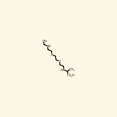 CC(NCCOCCOCCNCO)C(=O)O